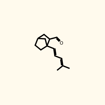 CC(C)=CC=CC12CCC(CC1C=O)C2